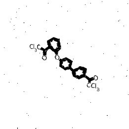 O=C(c1ccc(-c2ccc(Oc3ccccc3C(=O)C(Cl)(Cl)Cl)cc2)cc1)C(Cl)(Cl)Cl